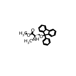 CN[C@@H](COC1(c2ccccc2)c2ccccc2-c2ccccc21)C(=O)OC